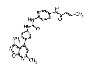 C/C=C/C(=O)Nc1ccc(NC(=O)Nc2ccc(-c3cc(C)nc4onc(N)c34)cc2)cc1